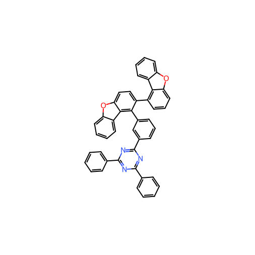 c1ccc(-c2nc(-c3ccccc3)nc(-c3cccc(-c4c(-c5cccc6oc7ccccc7c56)ccc5oc6ccccc6c45)c3)n2)cc1